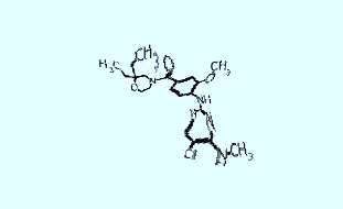 CCC1(CC)CN(C(=O)c2ccc(Nc3ncc(Cl)c(NC)n3)c(OC)c2)CCO1